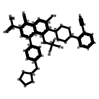 N#Cc1cccnc1N1CCN(c2c(F)cc3c(=O)c(C(=O)O)cn(-c4ccc(CN5CCCC5)cc4)c3c2OC(F)(F)F)CC1